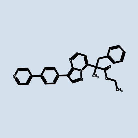 CCOC(=O)C(C)(Cc1ccccc1)c1ccnc2c(-c3ccc(-c4ccncc4)cc3)cnn12